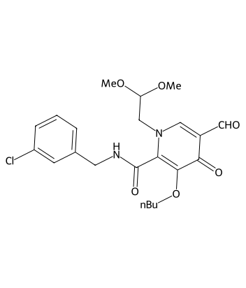 CCCCOc1c(C(=O)NCc2cccc(Cl)c2)n(CC(OC)OC)cc(C=O)c1=O